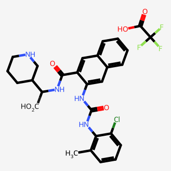 Cc1cccc(Cl)c1NC(=O)Nc1cc2ccccc2cc1C(=O)NC(C(=O)O)C1CCCNC1.O=C(O)C(F)(F)F